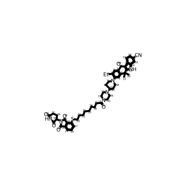 CCc1cc2c(cc1N1CCC(N3CCN(C(=O)CCCCCCCCSc4cccc5c4C(=O)N(C4CCC(=O)NC4=O)C5=O)CC3)CC1)C(C)(C)c1[nH]c3cc(C#N)ccc3c1C2=O